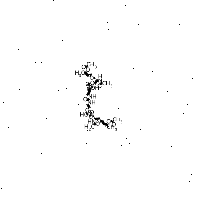 CC(=O)N[C@@H](COCC[C@@H](C)OC(C)=O)COP(=O)(O)OCCNC(=O)NCCOP(=O)(O)OC[C@H](COCC[C@@H](C)OC(C)=O)NC(C)=O